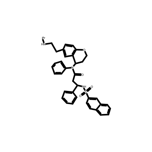 CC(C)NCCc1ccc2c(c1)C(N(C(=O)CC(NS(=O)(=O)c1ccc3ccccc3c1)c1ccccc1)c1ccccc1)CCO2